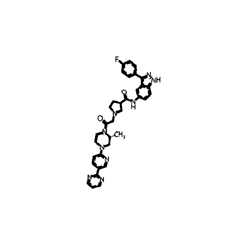 C[C@@H]1CN(c2ccc(-c3ncccn3)cn2)CCN1C(=O)CN1CCC(C(=O)Nc2ccc3[nH]nc(-c4ccc(F)cc4)c3c2)C1